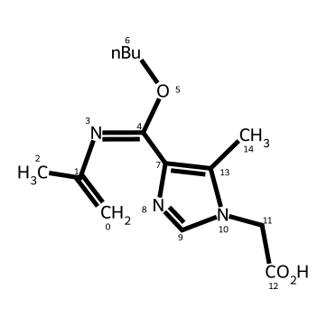 C=C(C)/N=C(/OCCCC)c1ncn(CC(=O)O)c1C